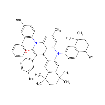 Cc1cc2c3c(c1)N(c1ccc(C(C)(C)C)cc1-c1ccccc1)c1oc4ccc(C(C)(C)C)cc4c1B3c1cc3c(cc1N2c1ccc2c(c1)C(C)(C)CCC2C(C)C)C(C)(C)CCC3(C)C